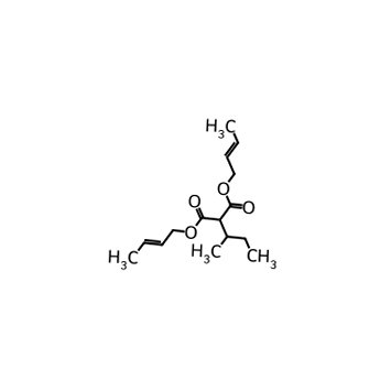 C/C=C/COC(=O)C(C(=O)OC/C=C/C)C(C)CC